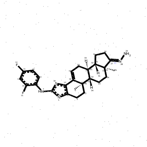 C[C@]12CCc3nc(Nc4ccc(F)cc4F)sc3C1=CC[C@@H]1[C@@H]2CC[C@]2(C)/C(=N/N)CC[C@@H]12